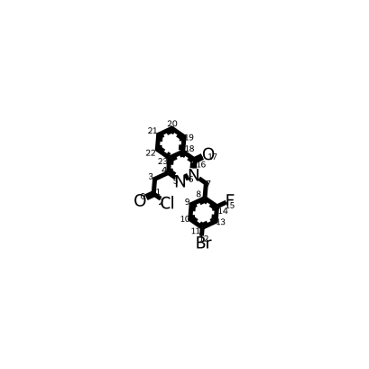 O=C(Cl)Cc1nn(Cc2ccc(Br)cc2F)c(=O)c2ccccc12